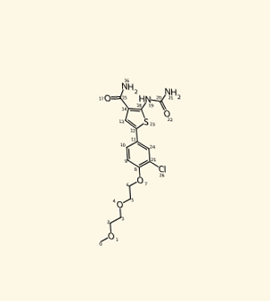 COCCOCCOc1ccc(-c2cc(C(N)=O)c(NC(N)=O)s2)cc1Cl